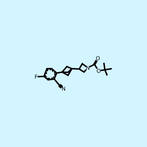 CC(C)(C)OC(=O)N1CC(C23CC(c4ccc(F)cc4C#N)(C2)C3)C1